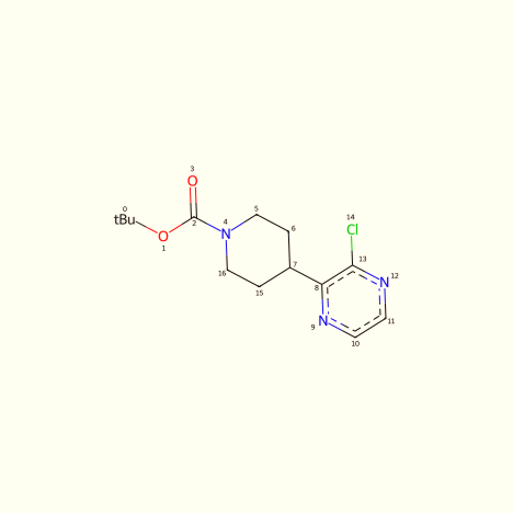 CC(C)(C)OC(=O)N1CCC(c2nccnc2Cl)CC1